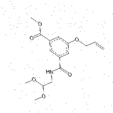 C=CCOc1cc(C(=O)NCC(OC)OC)cc(C(=O)OC)c1